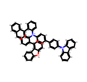 c1ccc(N(c2ccc(-c3ccc(-n4c5ccccc5c5ccccc54)cc3)cc2)c2ccccc2-c2cccc3oc4ccccc4c23)c(-c2cccc3ccccc23)c1